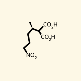 C[C@H](CCC[N+](=O)[O-])C(C(=O)O)C(=O)O